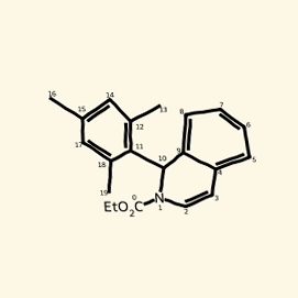 CCOC(=O)N1C=Cc2ccccc2C1c1c(C)cc(C)cc1C